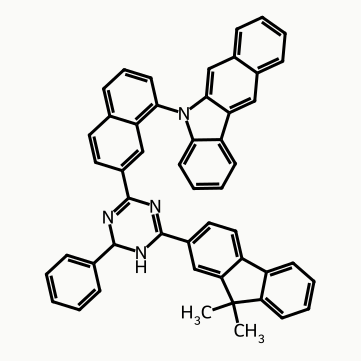 CC1(C)c2ccccc2-c2ccc(C3=NC(c4ccc5cccc(-n6c7ccccc7c7cc8ccccc8cc76)c5c4)=NC(c4ccccc4)N3)cc21